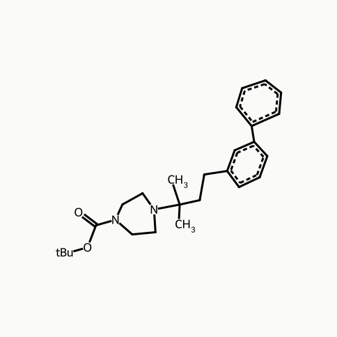 CC(C)(C)OC(=O)N1CCN(C(C)(C)CCc2cccc(-c3ccccc3)c2)CC1